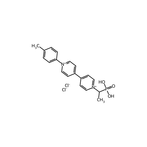 Cc1ccc(-[n+]2ccc(-c3cc[n+](C(C)P(=O)(O)O)cc3)cc2)cc1.[Cl-].[Cl-]